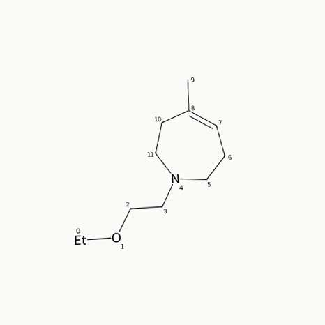 CCOCCN1CCC=C(C)CC1